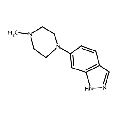 CN1CCN(c2ccc3cn[nH]c3c2)CC1